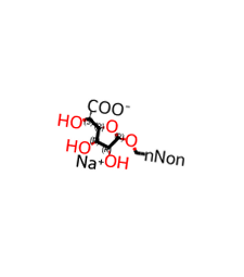 CCCCCCCCCCO[C@@H]1O[C@@H]([C@H](O)C(=O)[O-])[C@H](O)[C@H]1O.[Na+]